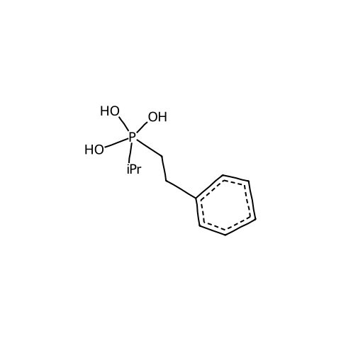 CC(C)P(O)(O)(O)CCc1ccccc1